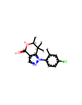 Cc1cc(Cl)ccc1-n1ncc2c1C(C)(C)C(C)OC2=O